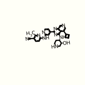 Cc1nc(Nc2cc(-c3nc(N[C@@H]4CCNC[C@@H]4O)c4c(C5=CC=C5)cncc4n3)ccn2)ccc1C#N